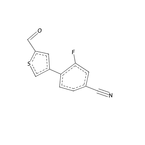 N#Cc1ccc(-c2csc(C=O)c2)c(F)c1